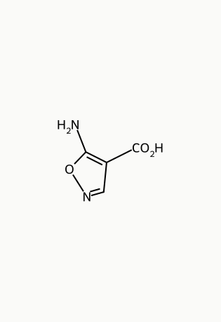 Nc1oncc1C(=O)O